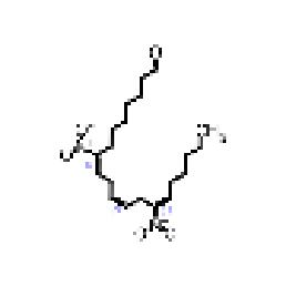 CCCCC/C=C(\C/C=C\C/C=C(\CCCCCC[C]=O)[N+](=O)[O-])[N+](=O)[O-]